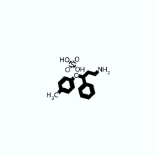 Cc1ccc(OC(CCN)c2ccccc2)cc1.O=S(=O)(O)O